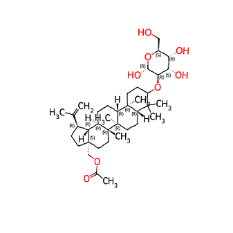 C=C(C)[C@@H]1CC[C@]2(COC(C)=O)CC[C@]3(C)[C@H](CC[C@@H]4[C@@]5(C)CCC(O[C@@H]6[C@@H](O)[C@@H](O)[C@H](CO)O[C@H]6O)C(C)(C)[C@@H]5CC[C@]43C)[C@@H]12